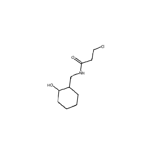 O=C(CCCl)NCC1CCCCC1O